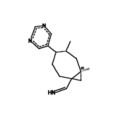 CC1C[C@@]2(C)CC2(C=N)CCC1c1cncnc1